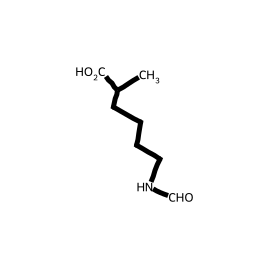 CC(CCCCNC=O)C(=O)O